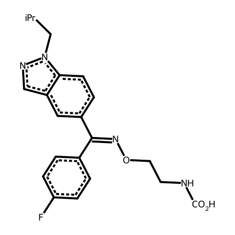 CC(C)Cn1ncc2cc(C(=NOCCNC(=O)O)c3ccc(F)cc3)ccc21